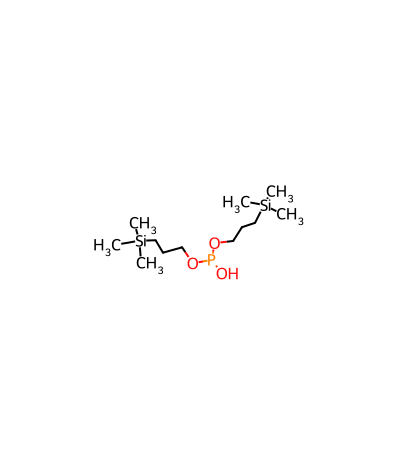 C[Si](C)(C)CCCOP(O)OCCC[Si](C)(C)C